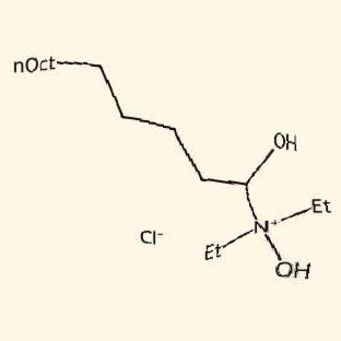 CCCCCCCCCCCCC(O)[N+](O)(CC)CC.[Cl-]